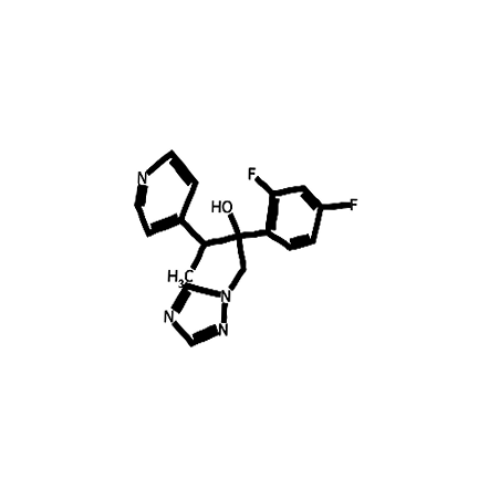 CC(c1ccncc1)C(O)(Cn1cncn1)c1ccc(F)cc1F